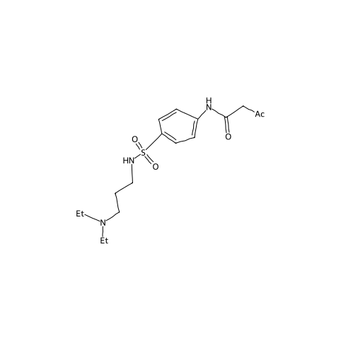 CCN(CC)CCCNS(=O)(=O)c1ccc(NC(=O)CC(C)=O)cc1